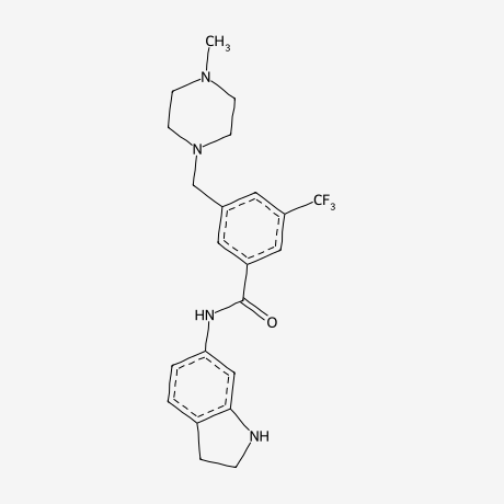 CN1CCN(Cc2cc(C(=O)Nc3ccc4c(c3)NCC4)cc(C(F)(F)F)c2)CC1